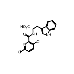 O=C(N[C@@H](Cc1c[nH]c2ccccc12)C(=O)O)c1nc(Cl)ccc1Cl